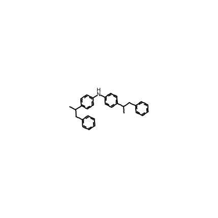 CC(Cc1ccccc1)c1ccc(Nc2ccc(C(C)Cc3ccccc3)cc2)cc1